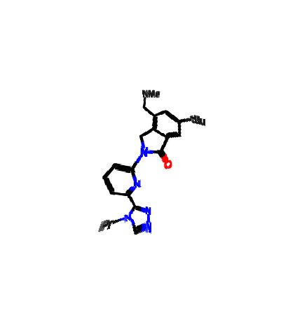 CNCc1cc(C(C)(C)C)cc2c1CN(c1cccc(-c3nncn3C(C)C)n1)C2=O